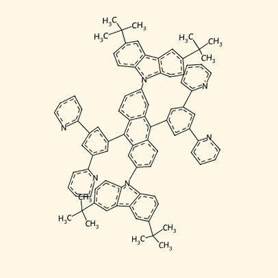 CC(C)(C)c1ccc2c(c1)c1cc(C(C)(C)C)ccc1n2-c1ccc2c(-c3cc(-c4ccccn4)cc(-c4ccccn4)c3)c3cc(-n4c5ccc(C(C)(C)C)cc5c5cc(C(C)(C)C)ccc54)ccc3c(-c3cc(-c4ccccn4)cc(-c4ccccn4)c3)c2c1